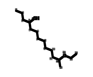 CCCC(O)CCCCCCCC(C)OCC